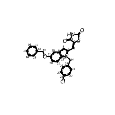 O=C1NC(=O)/C(=C\c2cc3cc(OCc4ccccc4)ccc3n2Cc2ccc(Cl)cc2)S1